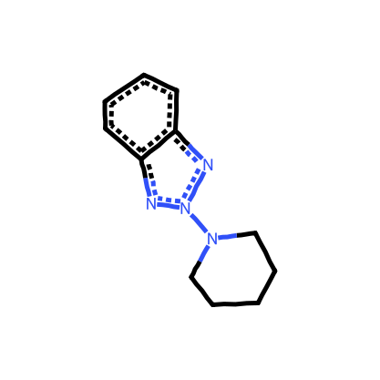 c1ccc2nn(N3CCCCC3)nc2c1